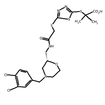 CC(C)(Sc1nnc(SCC(=O)NC[C@H]2CN(Cc3ccc(Cl)c(Cl)c3)CCO2)s1)C(=O)O